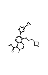 COC(=O)N1c2ccc(-c3cnn(C4CC4)c3)c(OCCC3COC3)c2CCC1C